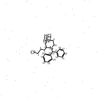 Cl.Cl.ClCCCC1CNCCN1C(c1ccccc1)c1ccccc1